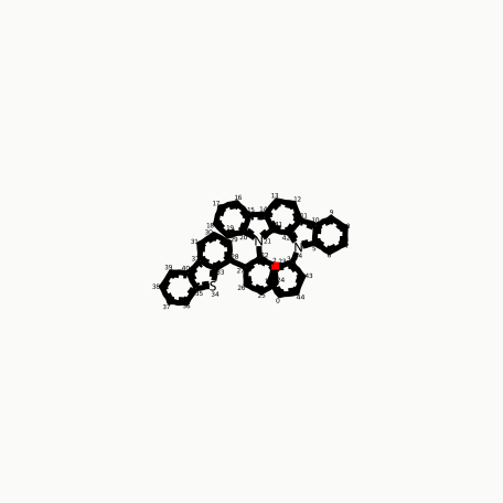 c1ccc(-n2c3ccccc3c3ccc4c5ccccc5n(-c5ccccc5-c5cccc6c5sc5ccccc56)c4c32)cc1